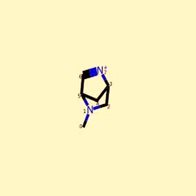 CN1CC2CC1C#[N+]2